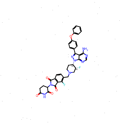 Nc1ncnc2c1c(-c1ccc(Oc3ccccc3)cc1)nn2[C@H]1CCN(Cc2ccc3c(c2F)C(=O)N(C2CCC(=O)NC2=O)C3=O)C[C@H]1F